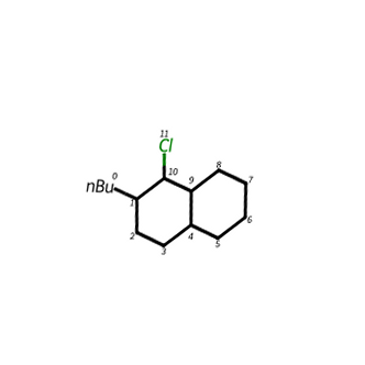 CCCCC1CCC2CCCCC2C1Cl